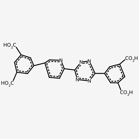 O=C(O)c1cc(C(=O)O)cc(-c2ccc(-c3nnc(-c4cc(C(=O)O)cc(C(=O)O)c4)nn3)nc2)c1